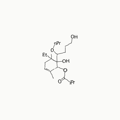 CCCOC(CCCO)C1(O)C(OC(=O)C(C)C)C(C)=CCC1(C)CC